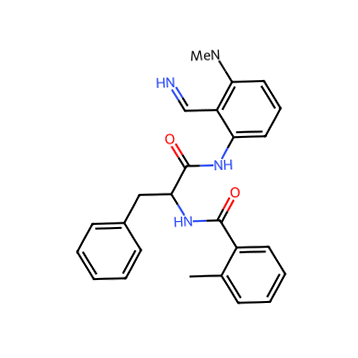 CNc1cccc(NC(=O)C(Cc2ccccc2)NC(=O)c2ccccc2C)c1C=N